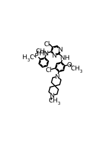 COc1cc(N2CCC3(CCN(C)CC3)CC2)c(Cl)cc1Nc1ncc(Cl)c(Nc2ccccc2P(C)C)n1